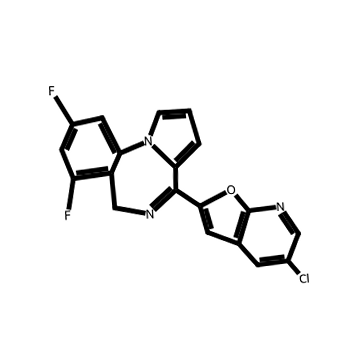 Fc1cc(F)c2c(c1)-n1cccc1C(c1cc3cc(Cl)cnc3o1)=NC2